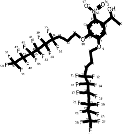 CC(O)c1cc(OCCCC(F)(F)C(F)(F)C(F)(F)C(F)(F)C(F)(F)C(F)(F)F)c(OCCCC(F)(F)C(F)(F)C(F)(F)C(F)(F)C(F)(F)C(F)(F)F)cc1[N+](=O)[O-]